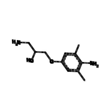 Cc1cc(OCC(O)CN)cc(C)c1N